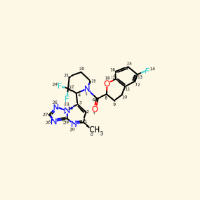 Cc1cc(C2N(C(=O)C3CCc4cc(F)ccc4O3)CCCC2(F)F)n2ncnc2n1